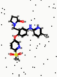 CS(=O)(=O)c1ccc(Oc2ccc(Nc3ccc(C(F)(F)F)cn3)cc2CN2CCCC2=O)cn1